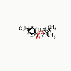 C=C[Si](C)(C)COC(=O)c1ccc([N+](=O)[O-])cc1